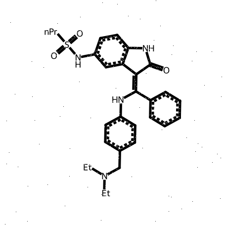 CCCS(=O)(=O)Nc1ccc2c(c1)C(=C(Nc1ccc(CN(CC)CC)cc1)c1ccccc1)C(=O)N2